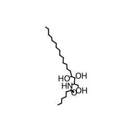 CCCCCCCCCCCCCCC(O)C(O)C(CO)NC(=O)CCCCC